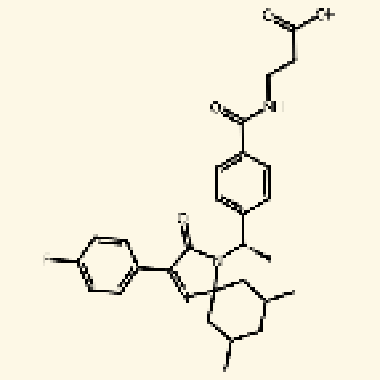 CC1CC(C)CC2(C1)N=C(c1ccc(F)cc1)C(=O)N2[C@H](C)c1ccc(C(=O)NCCC(=O)O)cc1